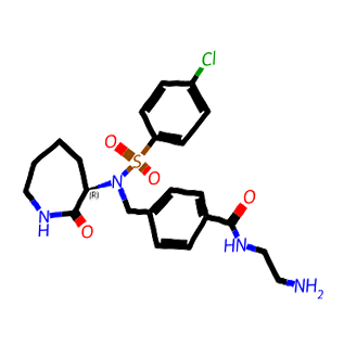 NCCNC(=O)c1ccc(CN([C@@H]2CCCCNC2=O)S(=O)(=O)c2ccc(Cl)cc2)cc1